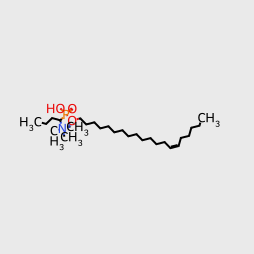 CCCCC/C=C\CCCCCCCCCCCCCOP(=O)(O)C(CCC)[N+](C)(C)C